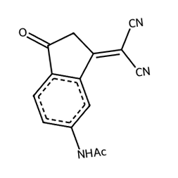 CC(=O)Nc1ccc2c(c1)C(=C(C#N)C#N)CC2=O